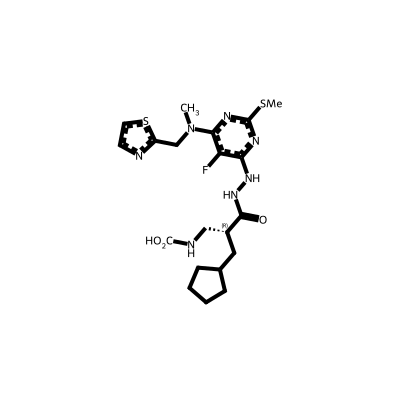 CSc1nc(NNC(=O)[C@@H](CNC(=O)O)CC2CCCC2)c(F)c(N(C)Cc2nccs2)n1